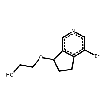 OCCOC1CCc2c(Br)cncc21